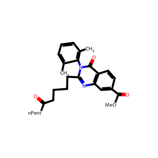 CCCCCC(=O)CCCCc1nc2cc(C(=O)OC)ccc2c(=O)n1-c1c(C)cccc1C